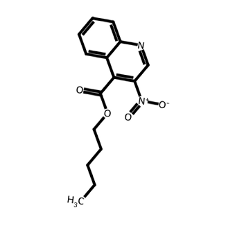 CCCCCOC(=O)c1c([N+](=O)[O-])cnc2ccccc12